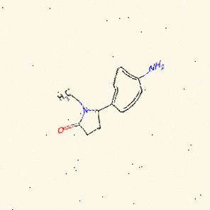 CN1C(=O)CCC1c1ccc(N)cc1